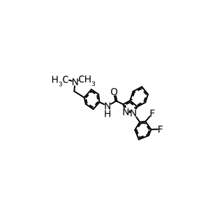 CN(C)Cc1ccc(NC(=O)c2nn(-c3cccc(F)c3F)c3ccccc23)cc1